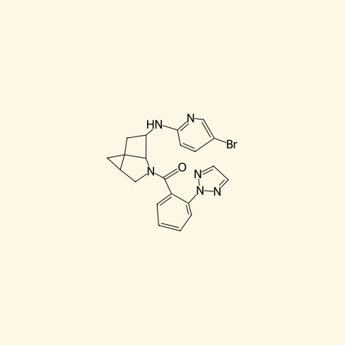 O=C(c1ccccc1-n1nccn1)N1CC2CC23CC(Nc2ccc(Br)cn2)C13